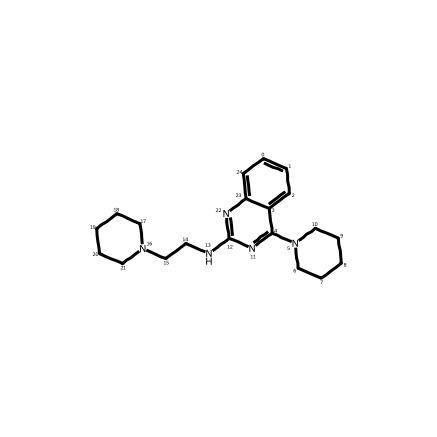 c1ccc2c(N3CCCCC3)nc(NCCN3CCCCC3)nc2c1